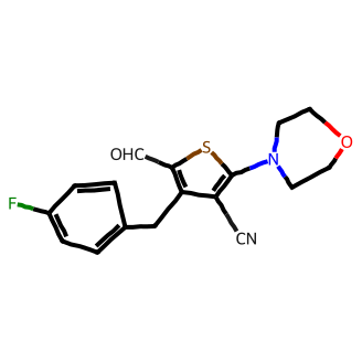 N#Cc1c(N2CCOCC2)sc(C=O)c1Cc1ccc(F)cc1